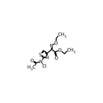 CCON=C(C(=O)OCC)c1csc(N(Cl)C(C)=O)n1